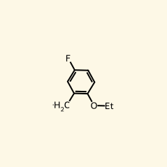 [CH2]c1cc(F)ccc1OCC